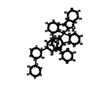 c1ccc(-c2cccc(-c3cc(-c4cccc5c4C4(c6ccccc6-c6cnccc64)c4oc6ccccc6c4-5)nc(-c4ccccc4)n3)c2)cc1